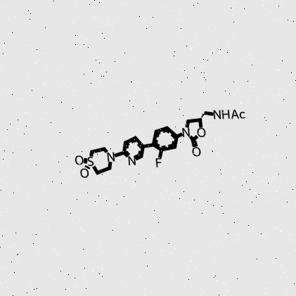 CC(=O)NC[C@H]1CN(c2ccc(-c3ccc(N4CCS(=O)(=O)CC4)nc3)c(F)c2)C(=O)O1